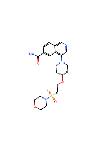 NC(=O)c1ccc2cncc(N3CCC(OCCS(=O)(=O)N4CCOCC4)CC3)c2c1